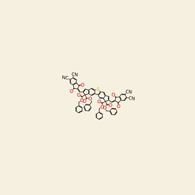 N#Cc1cc2c(cc1C#N)C(=O)C(=CC1=Cc3cc4sc5cc6c(cc5c4cc3C1(C(=O)OCc1ccccc1)C(=O)OCc1ccccc1)C(C(=O)OCc1ccccc1)(C(=O)OCc1ccccc1)C(C=C1C(=O)c3cc(C#N)c(C#N)cc3C1=O)=C6)C2=O